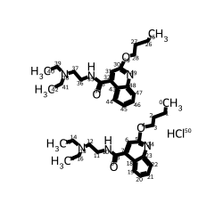 CCCCOc1cc(C(=O)NCCN(CC)CC)c2ccccc2n1.CCCCOc1cc(C(=O)NCCN(CC)CC)c2ccccc2n1.Cl